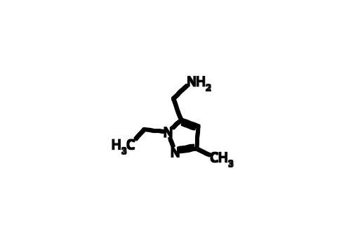 CCn1nc(C)cc1CN